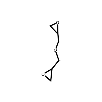 [CH](O[CH]C1CO1)C1CO1